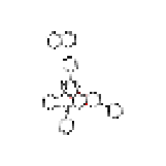 c1ccc(-c2ccc(-c3nc(-c4ccc(-c5cccc6ccccc56)cc4)nc(-c4ccccc4N(c4ccccc4)c4ccccc4)n3)cc2)cc1